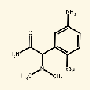 CN(C)C(C(N)=O)c1cc(N)ccc1C(C)(C)C